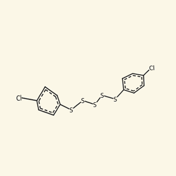 Clc1ccc(SSSSSc2ccc(Cl)cc2)cc1